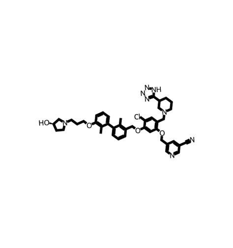 Cc1c(COc2cc(OCc3cncc(C#N)c3)c(CN3CCCC(c4nnn[nH]4)C3)cc2Cl)cccc1-c1cccc(OCCCN2CC[C@@H](O)C2)c1C